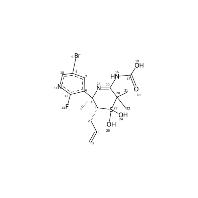 C=CC[C@@H]1[C@@](C)(c2cc(Br)cnc2F)N=C(NC(=O)O)C(C)(C)S1(O)O